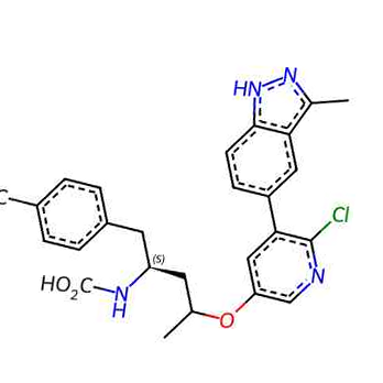 Cc1n[nH]c2ccc(-c3cc(OC(C)C[C@H](Cc4ccc(C(F)(F)F)cc4)NC(=O)O)cnc3Cl)cc12